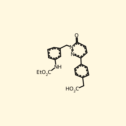 CCOC(=O)Nc1cccc(Cn2nc(-c3ccc(CC(=O)O)cc3)ccc2=O)c1